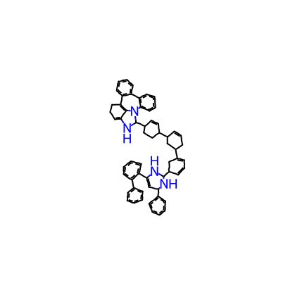 C1=CC(C2NC(c3ccccc3-c3ccccc3)=CC(c3ccccc3)N2)CC(C2CC=CC(C3C=CC(C4NC5=CCCC6=C5N4c4ccccc4-c4ccccc46)CC3)C2)=C1